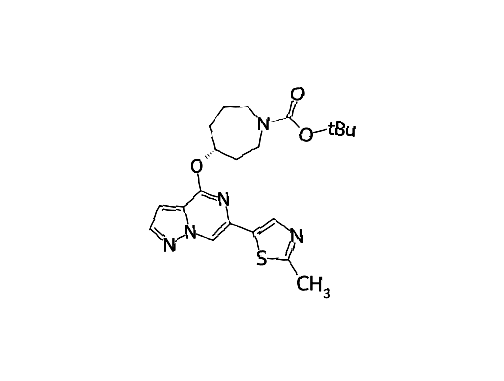 Cc1ncc(-c2cn3nccc3c(O[C@@H]3CCCN(C(=O)OC(C)(C)C)CC3)n2)s1